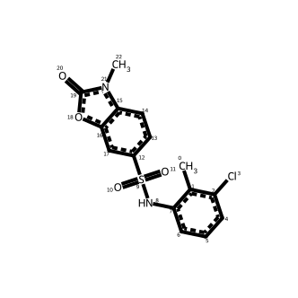 Cc1c(Cl)cccc1NS(=O)(=O)c1ccc2c(c1)oc(=O)n2C